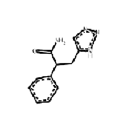 NC(=O)C(Cc1cnn[nH]1)c1ccccc1